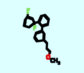 COCCCc1cccc(-c2ccccc2C2(F)C=C(F)C=CC2)c1